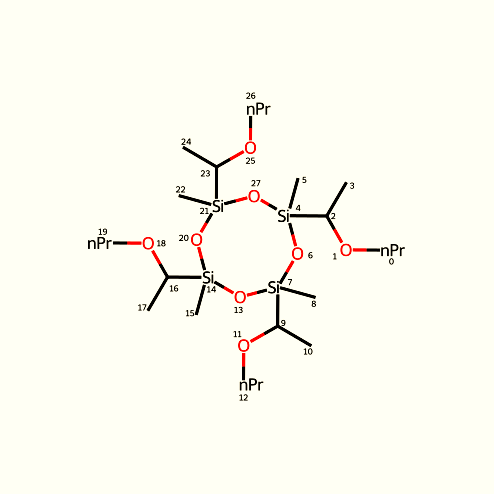 CCCOC(C)[Si]1(C)O[Si](C)(C(C)OCCC)O[Si](C)(C(C)OCCC)O[Si](C)(C(C)OCCC)O1